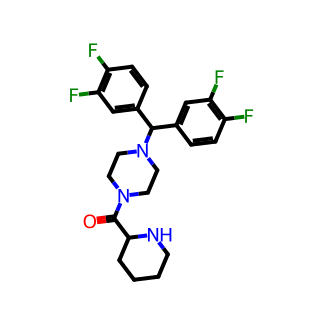 O=C(C1CCCCN1)N1CCN(C(c2ccc(F)c(F)c2)c2ccc(F)c(F)c2)CC1